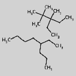 CCC(C)(CC)C(C)(C)C.CCCCC(CC)CCC